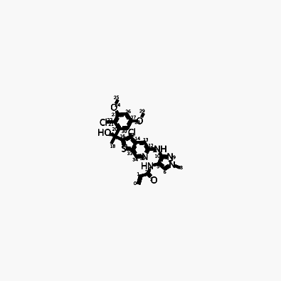 C=CC(=O)Nc1cn(C)nc1Nc1cc2cc(C(C)(O)c3c(Cl)c(OC)cc(OC)c3Cl)sc2cn1